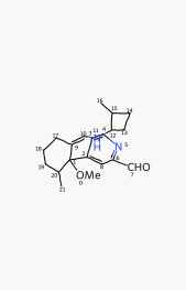 COC1(c2ccnc(C=O)c2)/C(=C\NC2CCC2C)CCCC1C